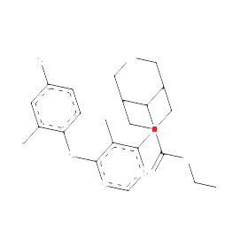 [C-]#[N+]c1ccc(Nc2ncnc(OC3C4COCC3CN(C(=O)OCC(C)(C)C)C4)c2C)c(Cl)c1